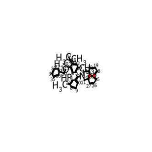 Cc1cc(Pc2c(C)cccc2CN(Cc2ccccc2)Cc2ccccc2)c(OCc2ccccc2)c(C(C)(C)C)c1